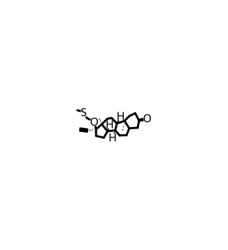 C#C[C@@]1(OCSC)CC[C@H]2[C@@H]3CCC4CC(=O)CC[C@]4(C)[C@H]3CC[C@@]21C